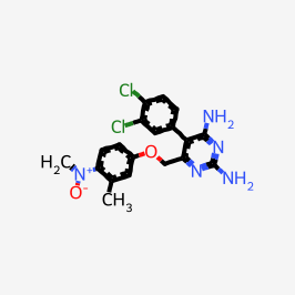 C=[N+]([O-])c1ccc(OCc2nc(N)nc(N)c2-c2ccc(Cl)c(Cl)c2)cc1C